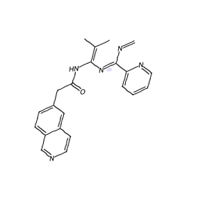 C=N/C(=N\C(NC(=O)Cc1ccc2cnccc2c1)=C(C)C)c1ccccn1